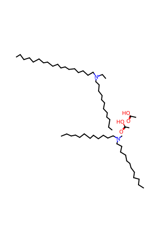 CC(=O)O.CC(=O)O.CCCCCCCCCCCCCCCCCCN(CC)CCCCCCCCCCCC.CCCCCCCCCCCCN(C)CCCCCCCCCCCC